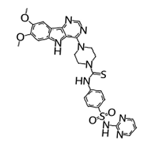 COc1cc2[nH]c3c(N4CCN(C(=S)Nc5ccc(S(=O)(=O)Nc6ncccn6)cc5)CC4)ncnc3c2cc1OC